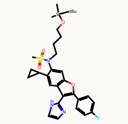 CC(C)(C)[Si](C)(C)OCCCCN(c1cc2oc(-c3ccc(F)cc3)c(-c3ncc[nH]3)c2cc1C1CC1)S(C)(=O)=O